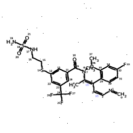 C=N/C=C\C(=C(/C)N(C)C(=O)c1cc(SCCNS(N)(=O)=O)cc(C(F)(F)F)c1)c1ccc(F)cc1OC